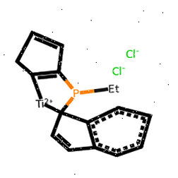 CCP1C2=[C](CC=C2)[Ti+2][C]12C=Cc1ccccc12.[Cl-].[Cl-]